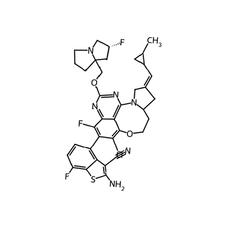 CC1CC1/C=C1/CC2CCOc3c(Cl)c(-c4ccc(F)c5sc(N)c(C#N)c45)c(F)c4nc(OCC56CCCN5C[C@H](F)C6)nc(c34)N2C1